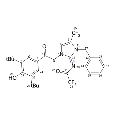 CC(C)(C)c1cc(C(=O)Cn2cc(C(F)(F)F)n(Cc3ccccc3)/c2=N/C(=O)C(F)(F)F)cc(C(C)(C)C)c1O